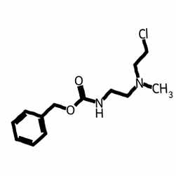 CN(CCCl)CCNC(=O)OCc1ccccc1